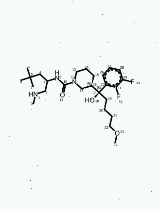 CNCC(CC(C)(C)C)NC(=O)N1CCC[C@@H]([C@@](O)(CCCCOC)c2cccc(F)c2F)C1